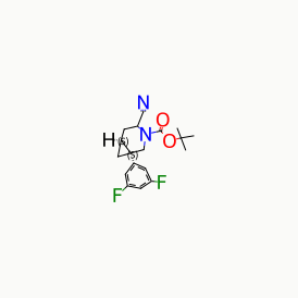 CC(C)(C)OC(=O)N1C[C@@]2(c3cc(F)cc(F)c3)C[C@H]2CC1C#N